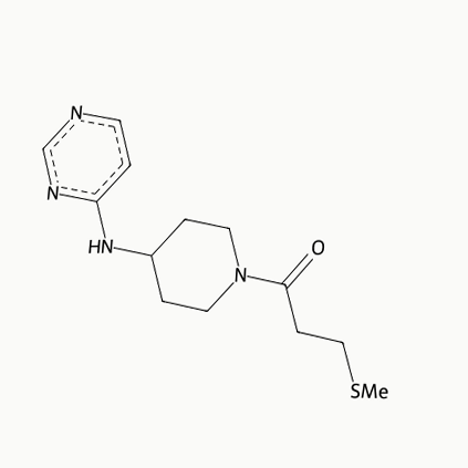 CSCCC(=O)N1CCC(Nc2ccncn2)CC1